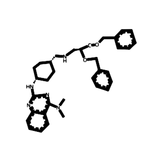 CN(C)c1nc(N[C@H]2CC[C@@H](CNC[C@@H](COCc3ccccc3)OCc3ccccc3)CC2)nc2ccccc12